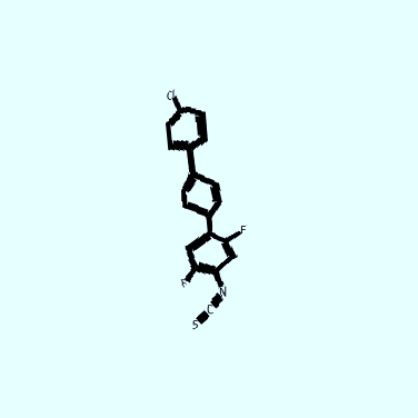 Fc1cc(-c2ccc(-c3ccc(Cl)cc3)cc2)c(F)cc1N=C=S